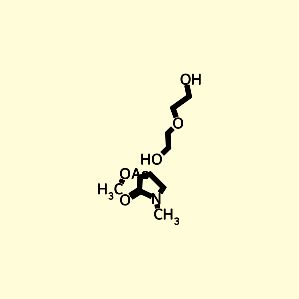 CN1CCCC1=O.COC(C)=O.OCCOCCO